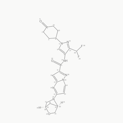 O=C1CCC(n2cc(NC(=O)c3cc4nc(N5C[C@H]6C[C@@H]5CO6)ccn4n3)c(C(F)F)n2)CC1